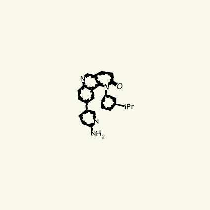 CC(C)c1cccc(-n2c(=O)ccc3cnc4ccc(-c5ccc(N)nc5)cc4c32)c1